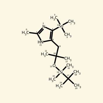 Cc1n[c]([Sn]([CH3])([CH3])[CH3])c(CC(C)(C)O[Si](C)(C)C(C)(C)C)[nH]1